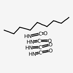 CCCCCCCCC.N=C=O.N=C=O.N=C=O.N=C=O